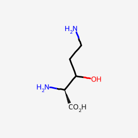 NCCC(O)[C@H](N)C(=O)O